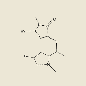 CC(C)C1CC(CC(C)C2CC(F)CN2C)C(=O)N1C